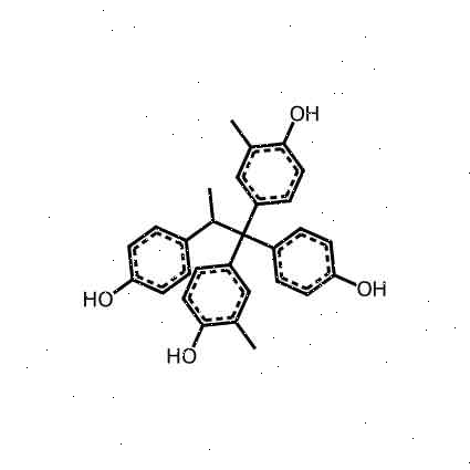 Cc1cc(C(c2ccc(O)cc2)(c2ccc(O)c(C)c2)C(C)c2ccc(O)cc2)ccc1O